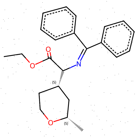 CCOC(=O)C(N=C(c1ccccc1)c1ccccc1)[C@H]1CCO[C@@H](C)C1